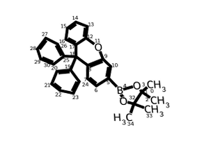 CC1(C)OB(c2ccc3c(c2)Oc2ccccc2C3(c2ccccc2)c2ccccc2)OC1(C)C